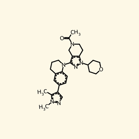 CC(=O)N1CCc2c(c(N3CCCc4cc(-c5cnn(C)c5C)ccc43)nn2C2CCOCC2)C1